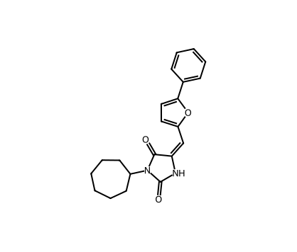 O=C1N/C(=C/c2ccc(-c3ccccc3)o2)C(=O)N1C1CCCCCC1